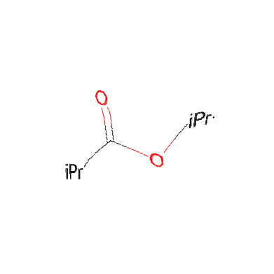 C[C](C)OC(=O)C(C)C